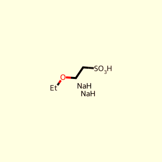 CCOCCS(=O)(=O)O.[NaH].[NaH]